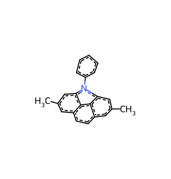 Cc1cc2ccc3cc(C)cc4c3c2c(c1)n4-c1ccccc1